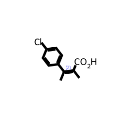 C/C(C(=O)O)=C(\C)c1ccc(Cl)cc1